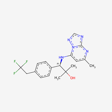 Cc1cc(N[C@H](c2ccc(CC(F)(F)F)cc2)C(C)(C)O)n2ncnc2n1